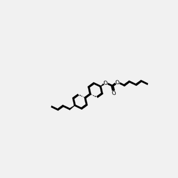 CCCCCOC(=O)O[C@H]1CC[C@H]([C@H]2CC[C@H](CCCC)CC2)CC1